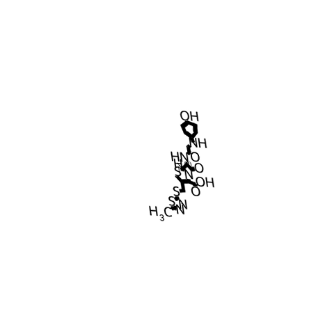 Cc1nnc(SCC2=C(C(=O)O)N3C(=O)[C@@H](NC(=O)CNc4ccc(O)cc4)[C@@H]3SC2)s1